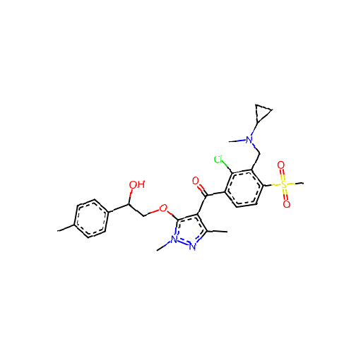 Cc1ccc(C(O)COc2c(C(=O)c3ccc(S(C)(=O)=O)c(CN(C)C4CC4)c3Cl)c(C)nn2C)cc1